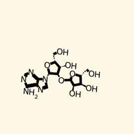 Nc1ncnc2c1ncn2[C@@H]1O[C@H](CO)[C@H](O)[C@H]1OC1O[C@H](CO)[C@@H](O)[C@H]1O